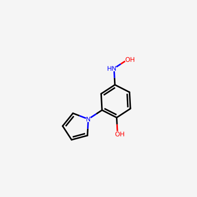 ONc1ccc(O)c(-n2cccc2)c1